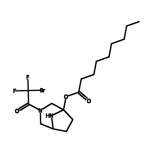 CCCCCCCCC(=O)OC12CCC(CN(C(=O)C(F)(F)Br)C1)N2